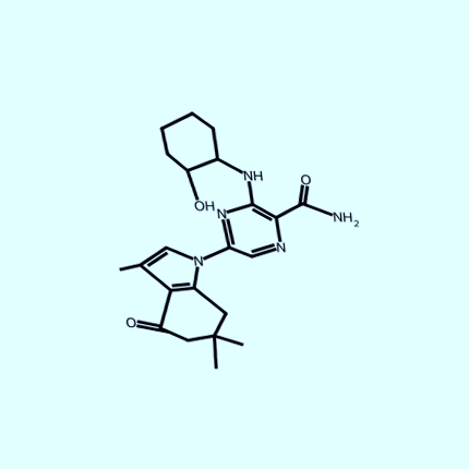 Cc1cn(-c2cnc(C(N)=O)c(NC3CCCCC3O)n2)c2c1C(=O)CC(C)(C)C2